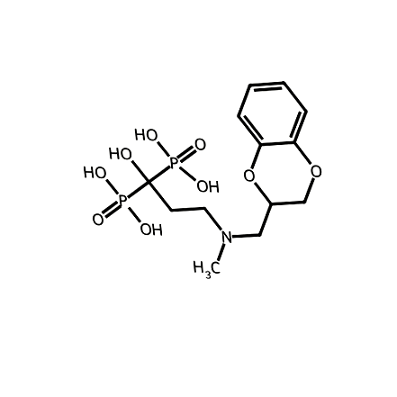 CN(CCC(O)(P(=O)(O)O)P(=O)(O)O)CC1COc2ccccc2O1